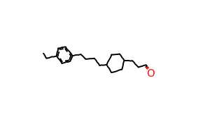 CCc1ccc(CCCCC2CCC(CCC=O)CC2)cc1